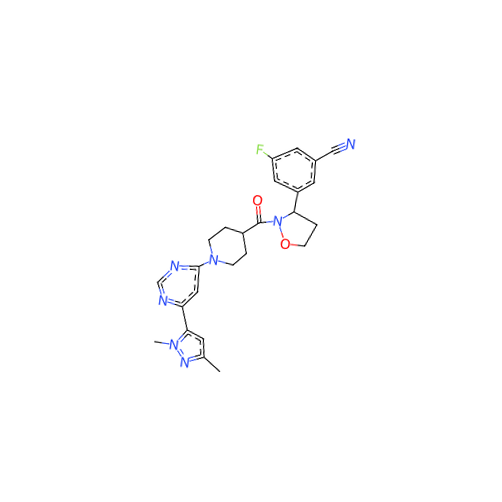 Cc1cc(-c2cc(N3CCC(C(=O)N4OCCC4c4cc(F)cc(C#N)c4)CC3)ncn2)n(C)n1